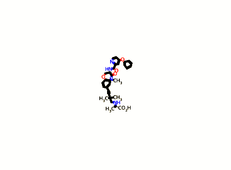 C[C@H](NCC(C)(C)C#Cc1ccc2c(c1)N(C)C(=O)[C@@H](NC(=O)c1cc(Oc3ccccc3)ccn1)CO2)C(=O)O